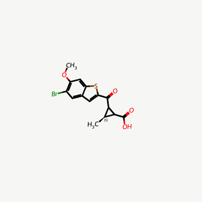 COc1cc2sc(C(=O)C3C(C(=O)O)[C@H]3C)cc2cc1Br